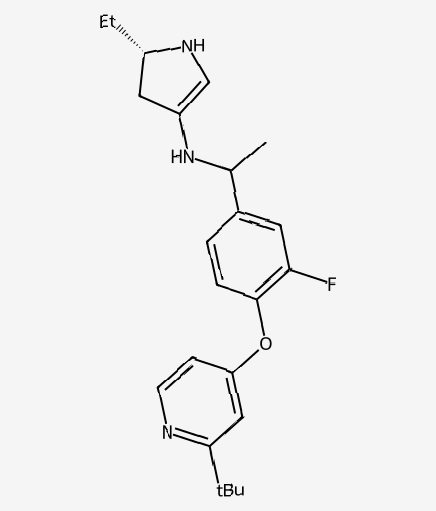 CC[C@H]1CC(NC(C)c2ccc(Oc3ccnc(C(C)(C)C)c3)c(F)c2)=CN1